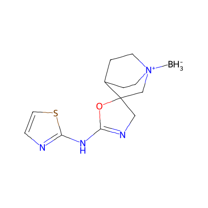 [BH3-][N+]12CCC(CC1)C1(CN=C(Nc3nccs3)O1)C2